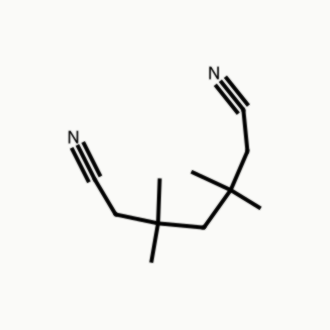 CC(C)(CC#N)CC(C)(C)CC#N